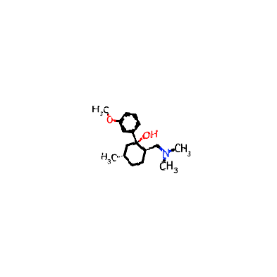 COc1cccc([C@@]2(O)C[C@@H](C)CC[C@@H]2CN(C)C)c1